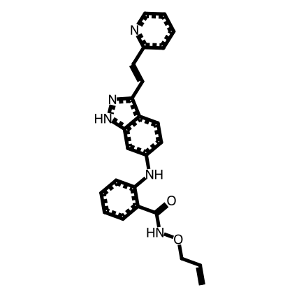 C=CCONC(=O)c1ccccc1Nc1ccc2c(/C=C/c3ccccn3)n[nH]c2c1